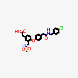 CS(=O)(=O)NCc1cc(CC(=O)O)ccc1Oc1ccc(CC(=O)NCc2ccc(Cl)cc2)cc1